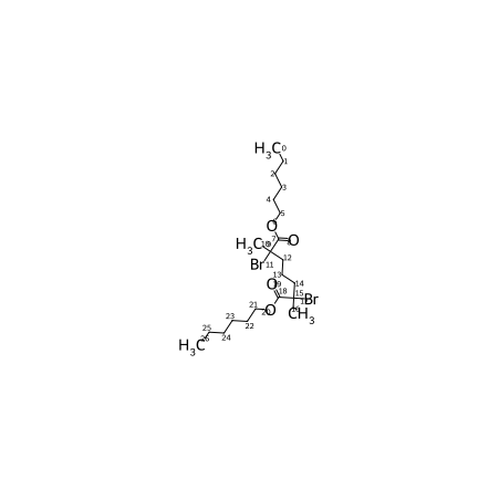 CCCCCCOC(=O)C(C)(Br)CCCC(C)(Br)C(=O)OCCCCCC